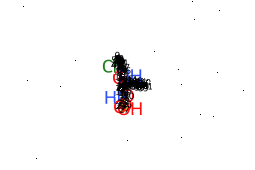 Cc1cc(C)c(-c2ccc(NC(=O)C(Cc3ccc(C(=O)NCCS(=O)(=O)O)cc3)c3ccc(-c4ccc(C(C)(C)C)cc4)cc3)cc2)c(Cl)c1